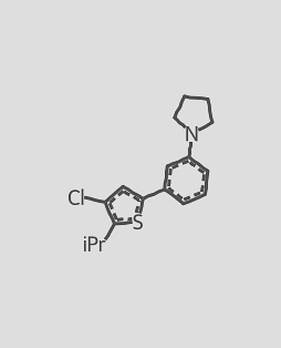 CC(C)c1sc(-c2cccc(N3CCCC3)c2)cc1Cl